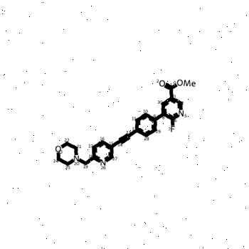 COC(=O)c1cnc(F)c(-c2ccc(C#Cc3ccc(CN4CCOCC4)nc3)cc2)c1